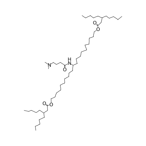 CCCCCC(CCCCC)CC(=O)OCCCCCCCCCCC(CCCCCCCCCCOC(=O)CC(CCCCC)CCCCC)NC(=O)CCCN(C)C